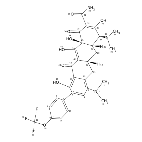 CN(C)c1cc(-c2ccc(OC(F)(F)F)cc2)c(O)c2c1C[C@H]1C[C@H]3[C@H](N(C)C)C(O)=C(C(N)=O)C(=O)[C@@]3(O)C(O)=C1C2=O